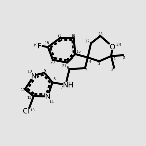 CC1(C)CC(CCNc2cncc(Cl)n2)(c2ccc(F)cc2)CCO1